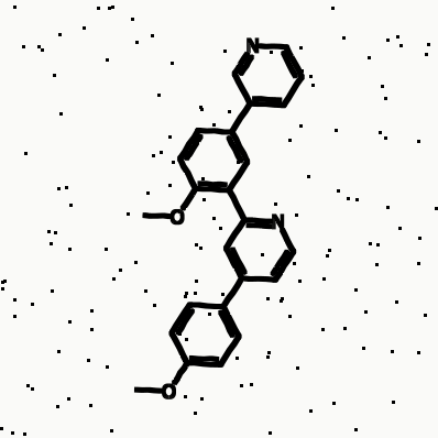 COc1ccc(-c2ccnc(-c3cc(-c4cccnc4)ccc3OC)c2)cc1